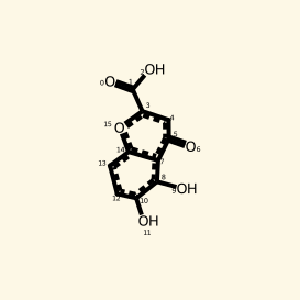 O=C(O)c1cc(=O)c2c(O)c(O)ccc2o1